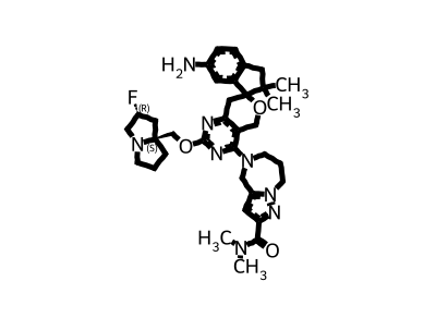 CN(C)C(=O)c1cc2n(n1)CCCN(c1nc(OC[C@@]34CCCN3C[C@H](F)C4)nc3c1COC1(C3)c3cc(N)ccc3CC1(C)C)C2